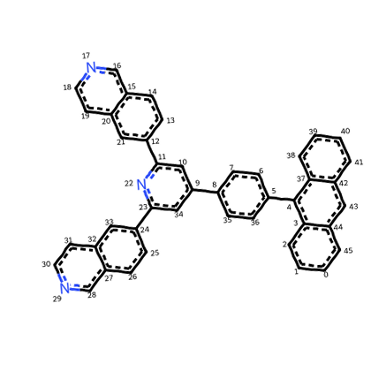 c1ccc2c(-c3ccc(-c4cc(-c5ccc6cnccc6c5)nc(-c5ccc6cnccc6c5)c4)cc3)c3ccccc3cc2c1